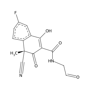 C[C@]1(C#N)C(=O)C(C(=O)NCC=O)=C(O)c2cc(F)ccc21